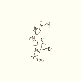 CN(C)CCNc1ccc(-n2ccc3cc(N(CC(=O)OC(C)(C)C)Sc4cc(Cl)cc(Br)c4)ccc32)nn1